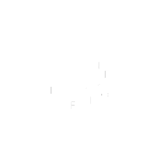 O=C(F)C1(F)C(F)=C(F)C(F)=C(F)C1F